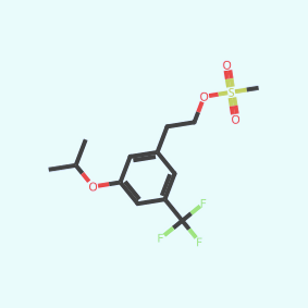 CC(C)Oc1cc(CCOS(C)(=O)=O)cc(C(F)(F)F)c1